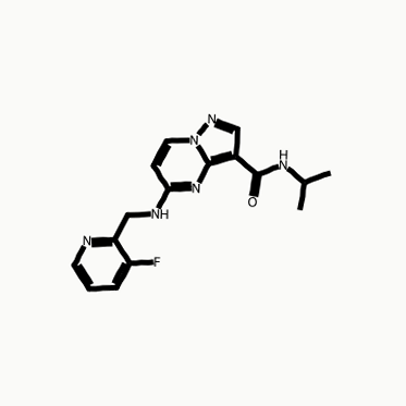 CC(C)NC(=O)c1cnn2ccc(NCc3ncccc3F)nc12